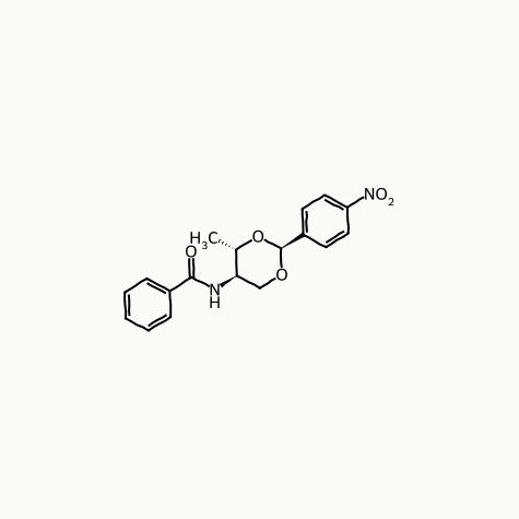 C[C@@H]1O[C@@H](c2ccc([N+](=O)[O-])cc2)OC[C@H]1NC(=O)c1ccccc1